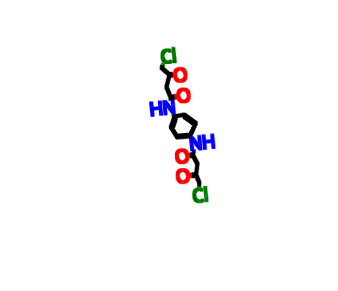 O=C(CCl)CC(=O)Nc1ccc(NC(=O)CC(=O)CCl)cc1